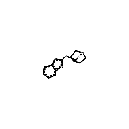 c1ccc2oc(OC3CN4CCC3CC4)nc2c1